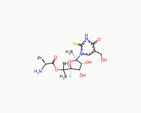 BC(B)(OC(=O)[C@@H](N)C(C)C)[C@@]1(F)O[C@@](B)(n2cc(CO)c(=O)[nH]c2=S)[C@H](O)[C@@H]1O